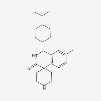 Cc1ccc2c(c1)C([C@H]1CC[C@@H](C(C)C)CC1)NC(=O)C21CCNCC1